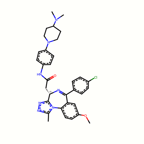 COc1ccc2c(c1)C(c1ccc(Cl)cc1)=N[C@@H](CC(=O)Nc1ccc(N3CCC(N(C)C)CC3)cc1)c1nnc(C)n1-2